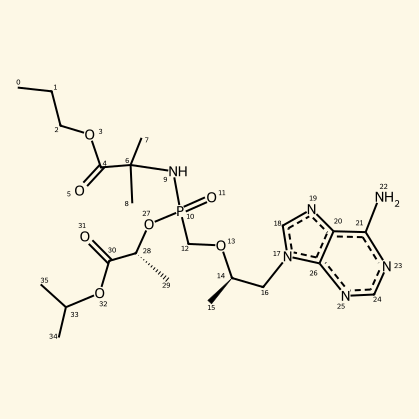 CCCOC(=O)C(C)(C)NP(=O)(CO[C@H](C)Cn1cnc2c(N)ncnc21)O[C@H](C)C(=O)OC(C)C